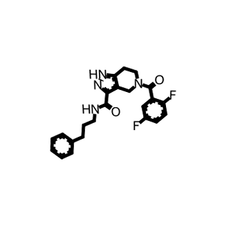 O=C(NCCCc1ccccc1)c1n[nH]c2c1CN(C(=O)c1cc(F)ccc1F)CC2